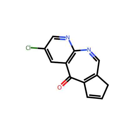 O=c1c2c(cnc3ncc(Cl)cc13)CC=C2